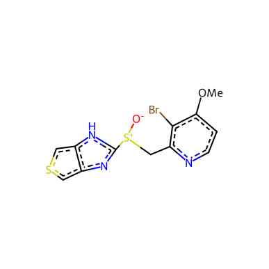 COc1ccnc(C[S+]([O-])c2nc3cscc3[nH]2)c1Br